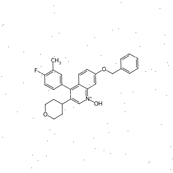 Cc1cc(-c2c(C3CCOCC3)c[n+](O)c3cc(OCc4ccccc4)ccc23)ccc1F